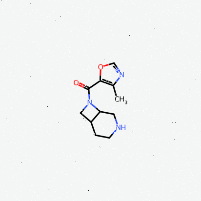 Cc1ncoc1C(=O)N1CC2CCNCC21